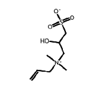 C=CC[N+](C)(C)CC(O)CS(=O)(=O)[O-]